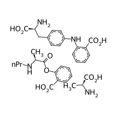 CCCN[C@@H](C)C(=O)Oc1ccccc1C(=O)O.C[C@H](N)C(=O)O.N[C@@H](Cc1ccc(Nc2ccccc2C(=O)O)cc1)C(=O)O